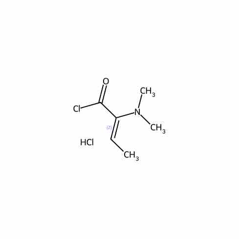 C/C=C(/C(=O)Cl)N(C)C.Cl